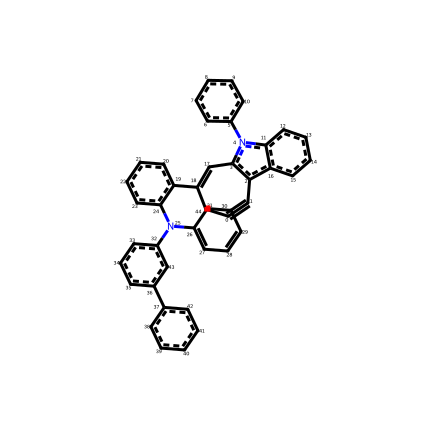 C1#Cc2c(n(-c3ccccc3)c3ccccc23)C=C(c2ccccc2N(C2=CC=CCC2)c2cccc(-c3ccccc3)c2)C1